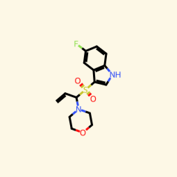 C=CC(N1CCOCC1)S(=O)(=O)c1c[nH]c2ccc(F)cc12